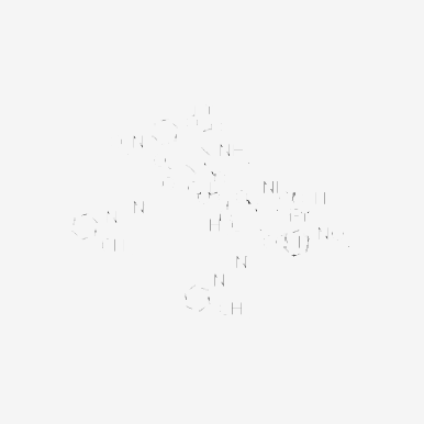 CC1=C(C(=O)OCCN2CCN(c3ccccc3C)CC2)C(c2cccc([N+](=O)[O-])c2)C(C(=O)OC(C)C)=C(N)N1OC(=O)C(=O)ON1C(C)C(CCN2CCN(c3ccccc3C)CC2)(C(=O)O)C(c2cccc([N+](=O)[O-])c2)C(C(=O)O)(C(C)C)C1N